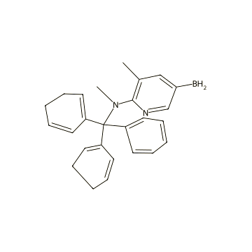 Bc1cnc(N(C)C(C2=CCCC=C2)(C2=CCCC=C2)c2ccccc2)c(C)c1